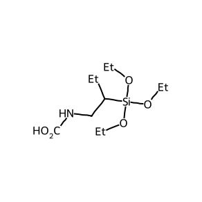 CCO[Si](OCC)(OCC)C(CC)CNC(=O)O